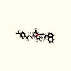 CC(C)c1ccc(C(=O)NC[C@@H]2NC(=N)N3CC(NC(=O)c4cccc5c4CCCC5)[C@@H](O)[C@@]34NC(=N)N[C@@H]24)nc1